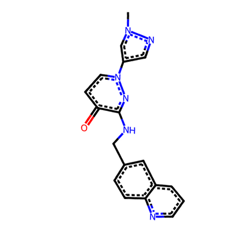 Cn1cc(-n2ccc(=O)c(NCc3ccc4ncccc4c3)n2)cn1